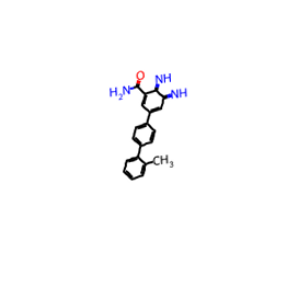 Cc1ccccc1-c1ccc(C2=CC(=N)C(=N)C(C(N)=O)=C2)cc1